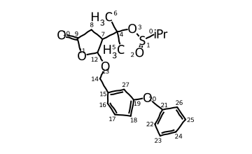 CC(C)S(=O)OC(C)(C)C1CC(=O)OC1OCc1cccc(Oc2ccccc2)c1